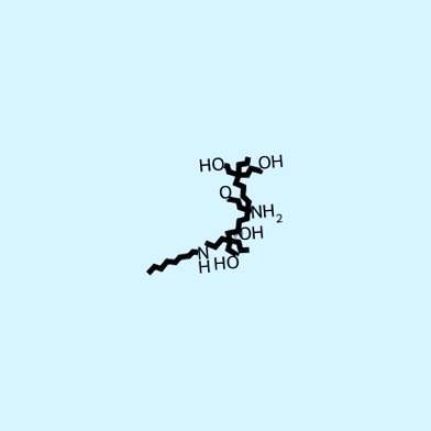 CCCCCCCCNCCCC(CCC)(CCO)C[C@H](O)CCC(N)(CCC=O)CCCCC(CCC)(CCO)CCCO